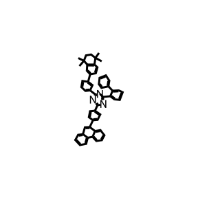 CC1(C)CCC(C)(C)c2cc(-c3cccc(-c4nc(-c5ccc(-c6cc7ccccc7c7ccccc67)cc5)nc(-c5ccccc5-c5ccccc5)n4)c3)ccc21